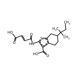 CCC(C)(C)C1CCc2c(sc(NC(=O)C=CC(=O)O)c2C(=O)O)C1